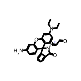 CCN(CC)c1ccc2c(c1)Oc1cc(N)ccc1C21c2ccccc2C(=O)N1/N=C/C=O